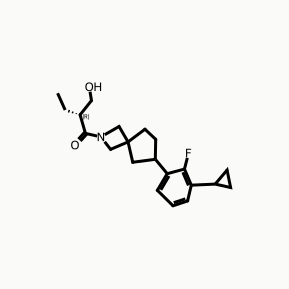 CC[C@H](CO)C(=O)N1CC2(CCC(c3cccc(C4CC4)c3F)C2)C1